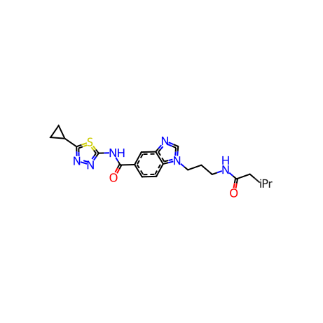 CC(C)CC(=O)NCCCn1cnc2cc(C(=O)Nc3nnc(C4CC4)s3)ccc21